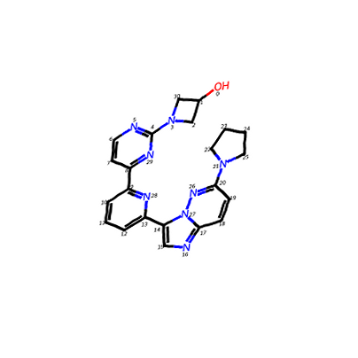 OC1CN(c2nccc(-c3cccc(-c4cnc5ccc(N6CCCC6)nn45)n3)n2)C1